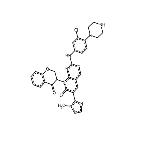 Cn1ccnc1-c1cc2cnc(Nc3ccc(N4CCNCC4)c(Cl)c3)nc2n(C2COc3ccccc3C2=O)c1=O